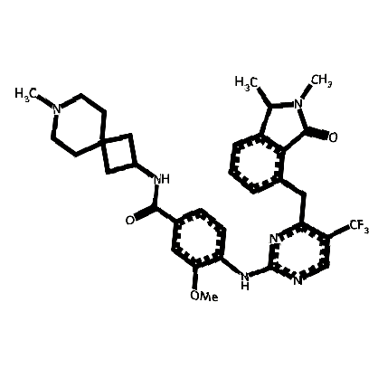 COc1cc(C(=O)NC2CC3(CCN(C)CC3)C2)ccc1Nc1ncc(C(F)(F)F)c(Cc2cccc3c2C(=O)N(C)C3C)n1